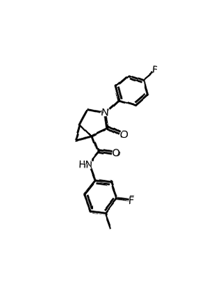 Cc1ccc(NC(=O)C23CC2CN(c2ccc(F)cc2)C3=O)cc1F